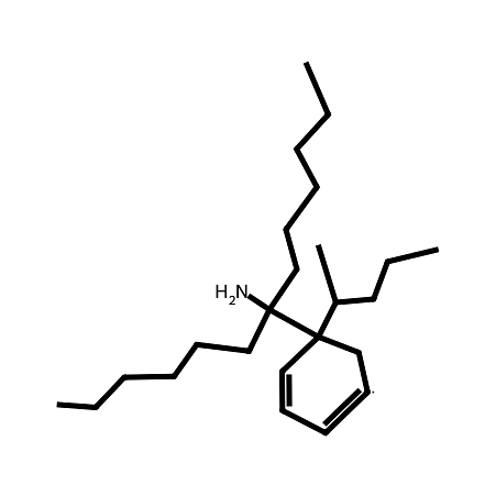 CCCCCCC(N)(CCCCCC)C1(C(C)CCC)C=CC=[C]C1